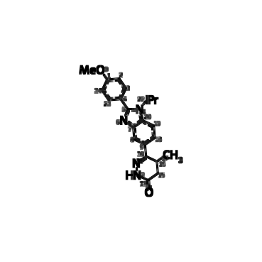 COc1ccc(-c2nc3cc(C4=NNC(=O)CC4C)ccc3n2C(C)C)cc1